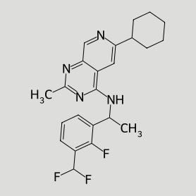 Cc1nc(NC(C)c2cccc(C(F)F)c2F)c2cc(C3CCCCC3)ncc2n1